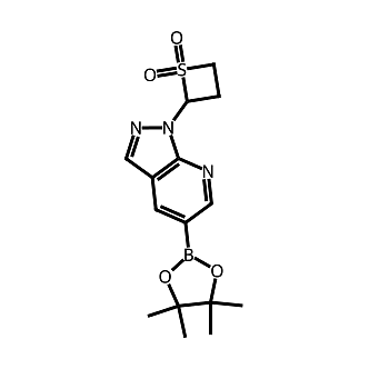 CC1(C)OB(c2cnc3c(cnn3C3CCS3(=O)=O)c2)OC1(C)C